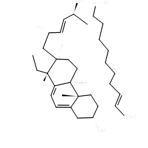 CC(C)[C@@H](C)C=C[C@@H](C)[C@H]1CC[C@H]2C3=CC=C4C[C@@H](O)CC[C@@]4(C)[C@@H]3CC[C@]12C.CCCCCCCCC=CCCCCCCCC(=O)O